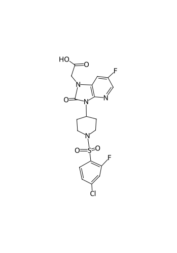 O=C(O)Cn1c(=O)n(C2CCN(S(=O)(=O)c3ccc(Cl)cc3F)CC2)c2ncc(F)cc21